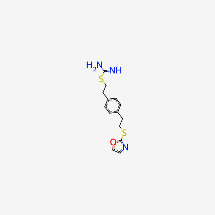 N=C(N)SCCc1ccc(CCSc2ncco2)cc1